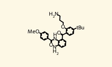 COc1ccc(C(=O)Nc2c(N)cccc2C(=O)c2ccc(C(C)(C)C)cc2OCCCN)cc1